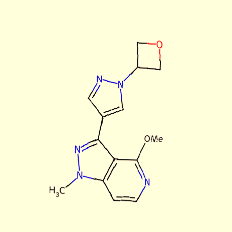 COc1nccc2c1c(-c1cnn(C3COC3)c1)nn2C